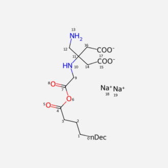 CCCCCCCCCCCCCC(=O)OC(=O)CNC(CN)(CC(=O)[O-])CC(=O)[O-].[Na+].[Na+]